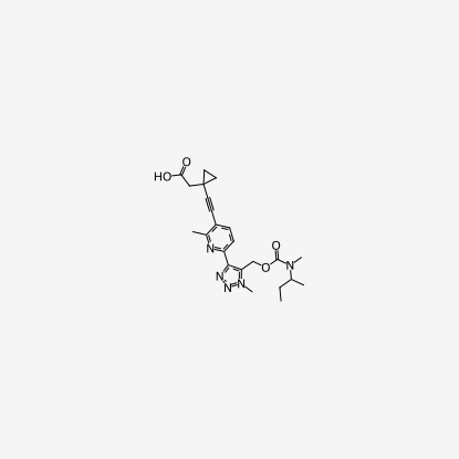 CCC(C)N(C)C(=O)OCc1c(-c2ccc(C#CC3(CC(=O)O)CC3)c(C)n2)nnn1C